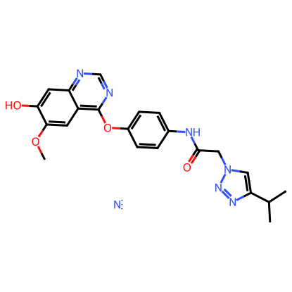 COc1cc2c(Oc3ccc(NC(=O)Cn4cc(C(C)C)nn4)cc3)ncnc2cc1O.[N]